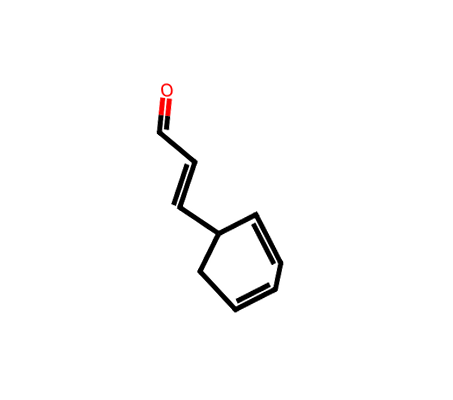 O=CC=CC1C=CC=CC1